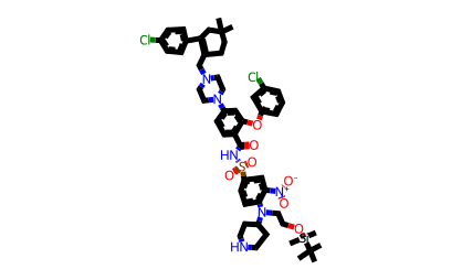 CC1(C)CCC(CN2CCN(c3ccc(C(=O)NS(=O)(=O)c4ccc(N(CCO[Si](C)(C)C(C)(C)C)C5CCNCC5)c([N+](=O)[O-])c4)c(Oc4cccc(Cl)c4)c3)CC2)=C(c2ccc(Cl)cc2)C1